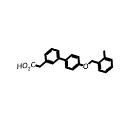 Cc1ccccc1COc1ccc(-c2cccc(CC(=O)O)c2)cc1